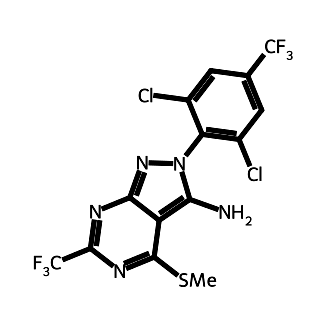 CSc1nc(C(F)(F)F)nc2nn(-c3c(Cl)cc(C(F)(F)F)cc3Cl)c(N)c12